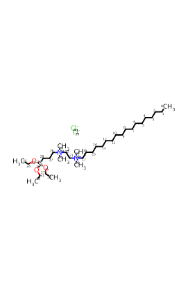 CCCCCCCCCCCCCCCCCC[N+](C)(C)CC[N+](C)(C)CCC[Si](OCC)(OCC)OCC.[Cl-].[Cl-]